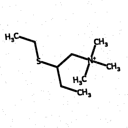 CCSC(CC)C[N+](C)(C)C